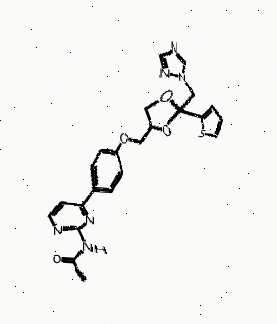 CC(=O)Nc1nccc(-c2ccc(OCC3COC(Cn4cncn4)(c4cccs4)O3)cc2)n1